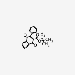 CC(C)(C)OC(=O)C1=C(c2ccccc2)C(=O)c2ccccc2C1=O